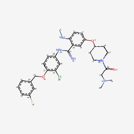 CNc1ccc(OC2CCN(C(=O)CN(C)C)CC2)cc1C(=N)Nc1ccc(OCc2cccc(F)c2)c(Cl)c1